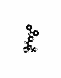 CC1(n2cc(C(=O)c3cncc(N=C(c4ccccc4)c4ccccc4)c3)c3cncnc32)COC1